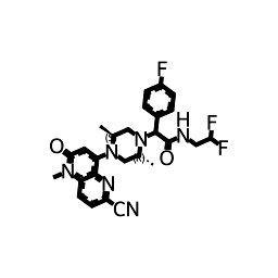 C[C@@H]1CN(c2cc(=O)n(C)c3ccc(C#N)nc23)[C@@H](C)CN1C(C(=O)NCC(F)F)c1ccc(F)cc1